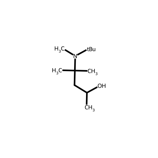 CC(O)CC(C)(C)N(C)C(C)(C)C